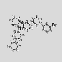 Brc1cccc(-c2cccc(-c3ccc4c(c3)c3ccccc3n4-c3ccc(-c4ccccc4)cc3)c2)c1